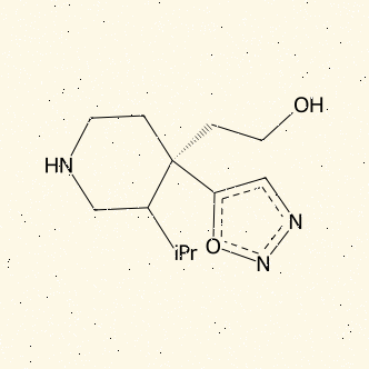 CC(C)C1CNCC[C@@]1(CCO)c1cnno1